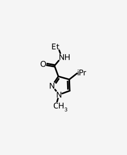 CCNC(=O)c1nn(C)cc1C(C)C